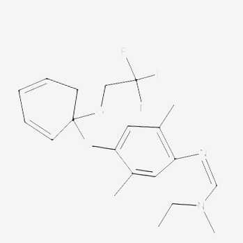 CCN(C)/C=N\c1cc(C)c(SC2(OCC(F)(F)F)C=CC=CC2)cc1C